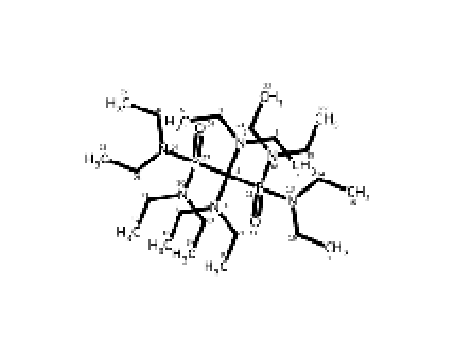 CCN(CC)C(N(CC)CC)(P(=O)(N(CC)CC)N(CC)CC)P(=O)(N(CC)CC)N(CC)CC